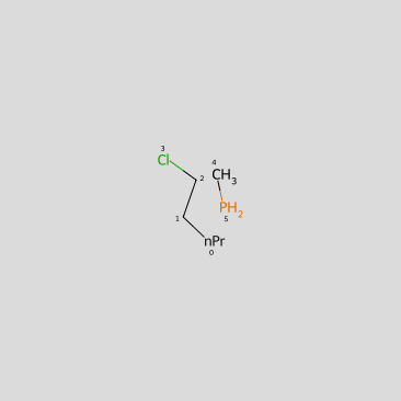 CCCCCCl.CP